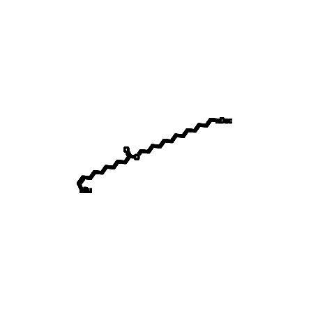 CCCC/C=C\CCCCCCCC(=O)OCCCCCCCCCCCCCCCCCCCCCCC